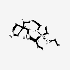 CCO[Si](CC)(OCC)C(CC)OCC1(CC)COC1